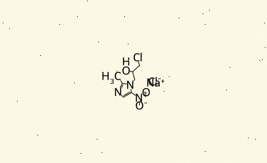 Cc1ncc([N+](=O)[O-])n1CC(O)CCl.[Cl-].[Na+]